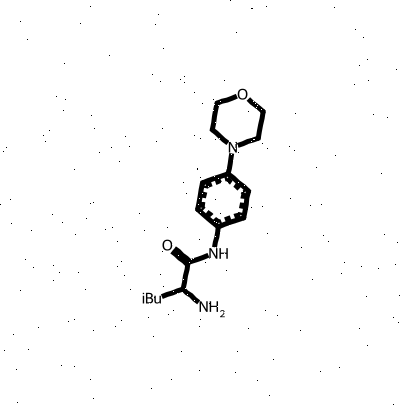 CCC(C)C(N)C(=O)Nc1ccc(N2CCOCC2)cc1